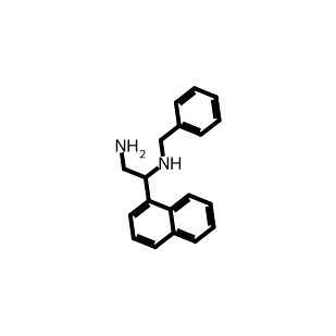 NCC(NCc1ccccc1)c1cccc2ccccc12